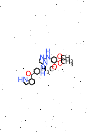 COc1cc(Nc2nccc(Nc3ccc(C(=O)c4cccc5cc[nH]c45)cc3)n2)cc(OC)c1OC